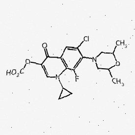 CC1CN(c2c(Cl)cc3c(=O)c(OC(=O)O)cn(C4CC4)c3c2F)CC(C)O1